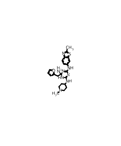 Cc1nc2ccc(NC3=NC(N)(Cc4ccco4)NC(NC4CCN(C)CC4)=N3)cc2s1